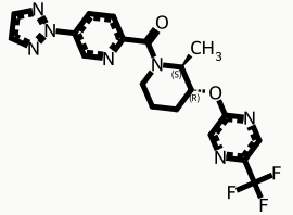 C[C@H]1[C@H](Oc2cnc(C(F)(F)F)cn2)CCCN1C(=O)c1ccc(-n2nccn2)cn1